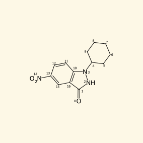 O=c1[nH]n(C2CCCCC2)c2ccc([N+](=O)[O-])cc12